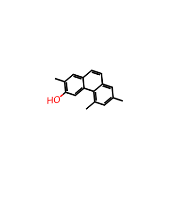 Cc1cc(C)c2c(ccc3cc(C)c(O)cc32)c1